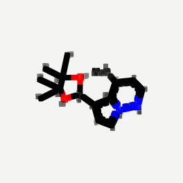 COc1ccnn2ccc(B3OC(C)(C)C(C)(C)O3)c12